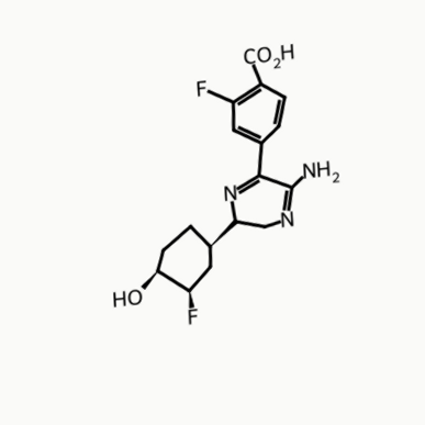 NC1=NCC([C@@H]2CC[C@H](O)[C@H](F)C2)N=C1c1ccc(C(=O)O)c(F)c1